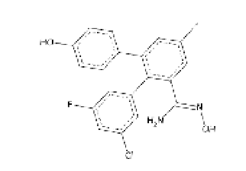 Cc1cc(/C(N)=N/O)c(-c2cc(F)cc(Cl)c2)c(-c2ccc(O)cc2)c1